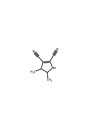 CC1NC(C#N)=C(C#N)N1C